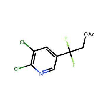 CC(=O)OCC(F)(F)c1cnc(Cl)c(Cl)c1